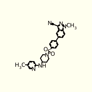 Cc1ccc(NC2CCN(S(=O)(=O)c3ccc(-c4ccc5c(c4)c(C#N)nn5C)cc3)CC2)nc1